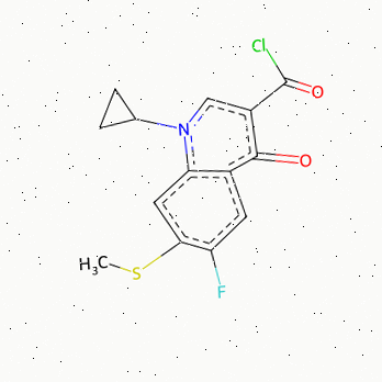 CSc1cc2c(cc1F)c(=O)c(C(=O)Cl)cn2C1CC1